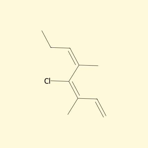 C=C/C(C)=C(Cl)\C(C)=C/CC